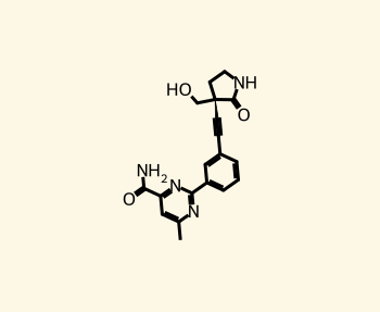 Cc1cc(C(N)=O)nc(-c2cccc(C#C[C@@]3(CO)CCNC3=O)c2)n1